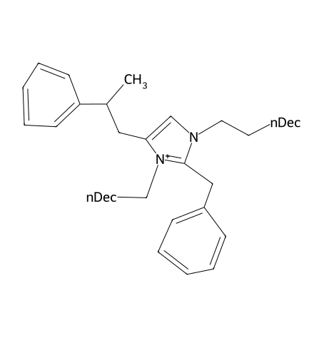 CCCCCCCCCCCCn1cc(CC(C)c2ccccc2)[n+](CCCCCCCCCCC)c1Cc1ccccc1